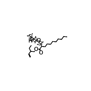 C=CC(CC)COC(=O)C(CCCCCCCCC)[Si](C)(C)O[Si](C)(C)O[SiH](C)C